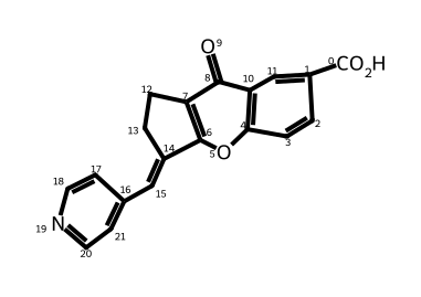 O=C(O)c1ccc2oc3c(c(=O)c2c1)CC/C3=C\c1ccncc1